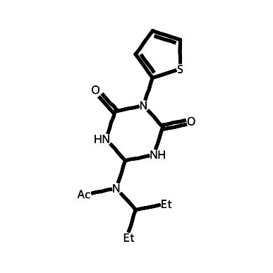 CCC(CC)N(C(C)=O)C1NC(=O)N(c2cccs2)C(=O)N1